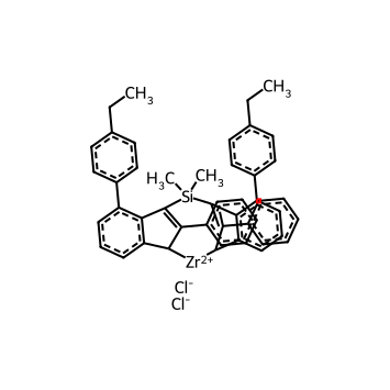 CCc1ccc(-c2cccc3c2C2=C(c4ccccc4)[CH]3[Zr+2][CH]3C(c4ccccc4)=C(c4c(-c5ccc(CC)cc5)cccc43)[Si]2(C)C)cc1.[Cl-].[Cl-]